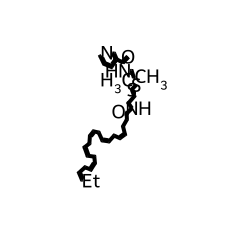 CC/C=C\C/C=C\C/C=C\C/C=C\C/C=C\C/C=C\CCC(=O)NCCSSC(C)(C)CNC(=O)c1cccnc1